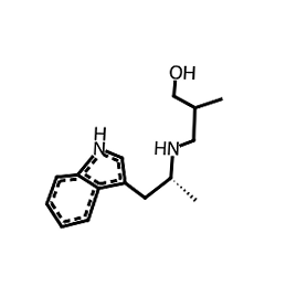 CC(CO)CN[C@H](C)Cc1c[nH]c2ccccc12